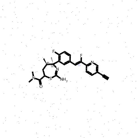 C#Cc1ccc(/C(F)=C/c2ccc(F)c([C@@]3(C)N=C(N)SC(C(=O)N(C)C)C[C@H]3C)c2)nc1